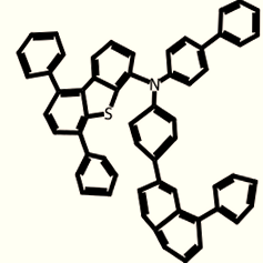 c1ccc(-c2ccc(N(c3ccc(-c4ccc5cccc(-c6ccccc6)c5c4)cc3)c3cccc4c3sc3c(-c5ccccc5)ccc(-c5ccccc5)c34)cc2)cc1